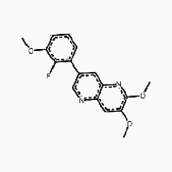 COc1[c]ccc(-c2cnc3cc(OC)c(OC)nc3c2)c1F